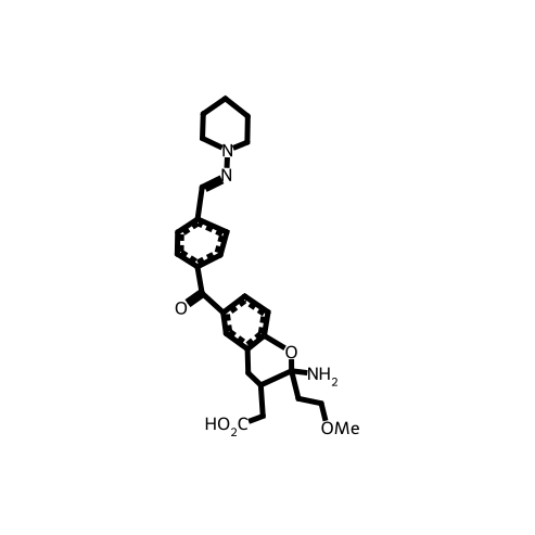 COCCC1(N)Oc2ccc(C(=O)c3ccc(C=NN4CCCCC4)cc3)cc2CC1CC(=O)O